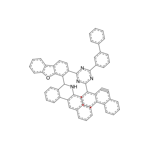 c1c2ccccc2c2cccc(-c3nc(-c4cccc(-c5ccccc5)c4)nc(-c4ccc5c(oc6ccccc65)c4C4Nc5cc6ccccc6cc5-c5ccccc54)n3)c2c#1